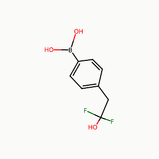 OB(O)c1ccc(CC(O)(F)F)cc1